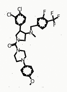 COc1ccc(N2CCN(C(=O)N3CC(c4ccc(Cl)c(Cl)c4)C(N(C)Cc4ccc(C(F)(F)F)c(F)c4)C3)CC2)cc1